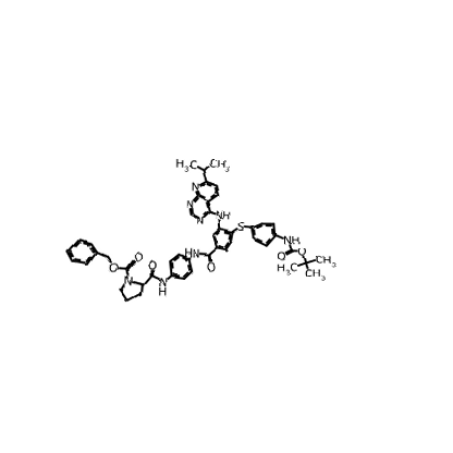 CC(C)c1ccc2c(Nc3cc(C(=O)Nc4ccc(NC(=O)C5CCCN5C(=O)OCc5ccccc5)cc4)ccc3Sc3ccc(NC(=O)OC(C)(C)C)cc3)ncnc2n1